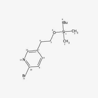 CC(C)(C)[Si](C)(C)OCCc1ccc(Br)nc1